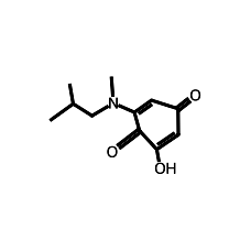 CC(C)CN(C)C1=CC(=O)C=C(O)C1=O